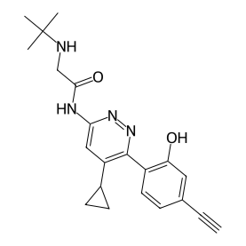 C#Cc1ccc(-c2nnc(NC(=O)CNC(C)(C)C)cc2C2CC2)c(O)c1